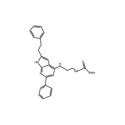 CNC(=O)NCCNc1nc(-c2ccccc2)nc2[nH]c(COc3ccccc3)cc12